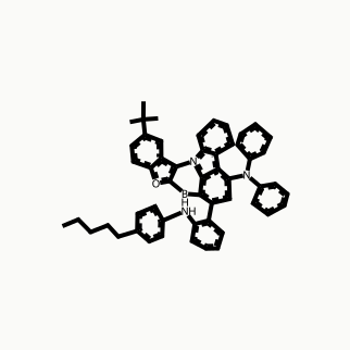 CCCCCc1ccc(Nc2ccccc2-c2cc(N(c3ccccc3)c3ccccc3)c3c4ccccc4n4c3c2Bc2oc3ccc(C(C)(C)C)cc3c2-4)cc1